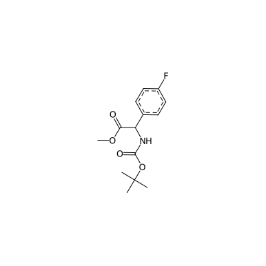 COC(=O)C(NC(=O)OC(C)(C)C)c1ccc(F)cc1